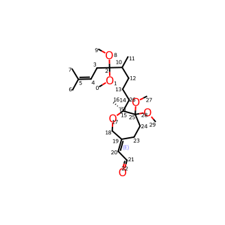 COC(CC=C(C)C)(OC)C(C)CCC[C@]1(C)OC/C(=C/C=O)CCC1(OC)OC